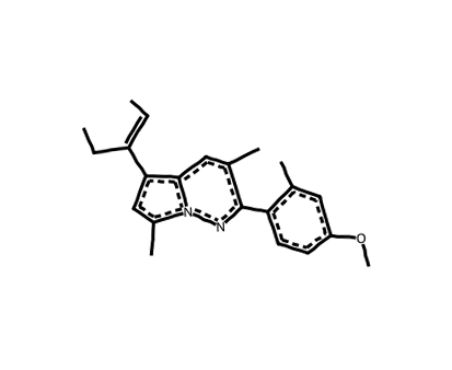 CC=C(CC)c1cc(C)n2nc(-c3ccc(OC)cc3C)c(C)cc12